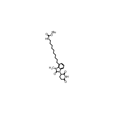 Cn1c(=O)n(C2CCC(=O)NC2=O)c2cccc(CCCCCCCCCCNC(=O)OC(C)(C)C)c21